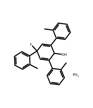 Cc1ccccc1C1=CC(F)(c2ccccc2C)C=C(c2ccccc2C)C1O.P